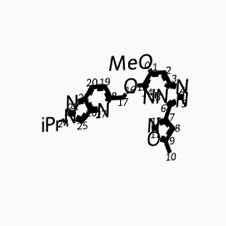 COc1cc2nnc(-c3cc(C)on3)n2nc1OCc1ccc2nn(C(C)C)cc2n1